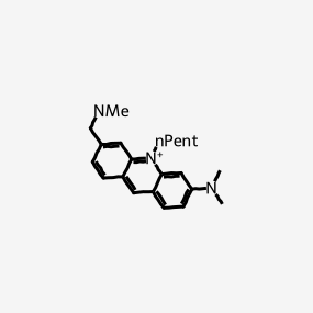 CCCCC[n+]1c2cc(CNC)ccc2cc2ccc(N(C)C)cc21